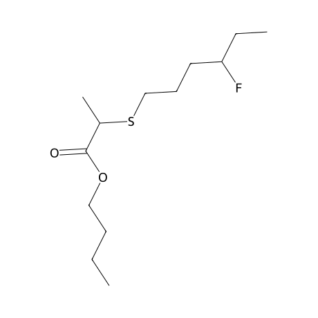 CCCCOC(=O)C(C)SCCCC(F)CC